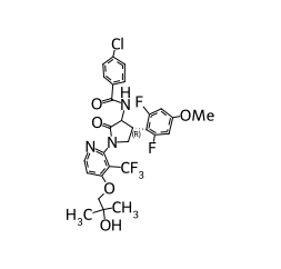 COc1cc(F)c([C@@H]2CN(c3nccc(OCC(C)(C)O)c3C(F)(F)F)C(=O)C2NC(=O)c2ccc(Cl)cc2)c(F)c1